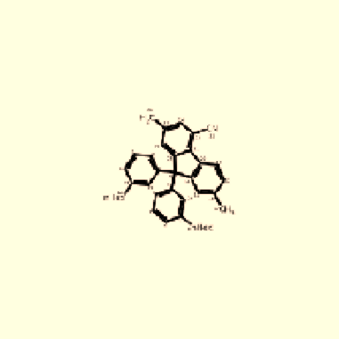 CCCCCCc1cccc(C2(c3cccc(CCCCCC)c3)c3cc(C)ccc3-c3c(C#N)cc(C)cc32)c1